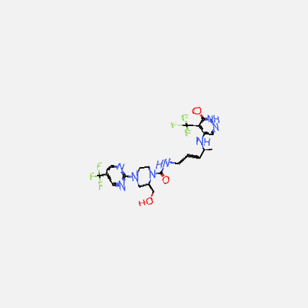 C[C@@H](/C=C/CNC(=O)N1CCN(c2ncc(C(F)(F)F)cn2)CC1CO)Nc1cn[nH]c(=O)c1C(F)(F)F